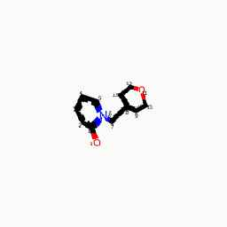 O=c1ccccn1CC1CCOCC1